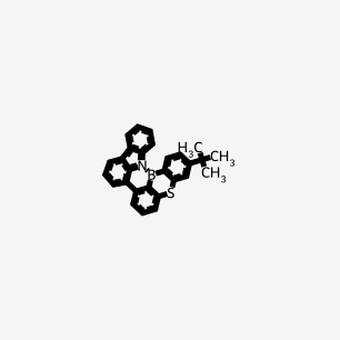 CC(C)(C)c1ccc2c(c1)Sc1cccc3c1B2n1c2ccccc2c2cccc-3c21